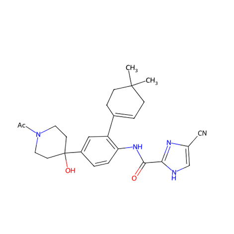 CC(=O)N1CCC(O)(c2ccc(NC(=O)c3nc(C#N)c[nH]3)c(C3=CCC(C)(C)CC3)c2)CC1